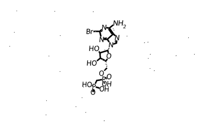 Nc1nc(Br)nc2c1ncn2[C@@H]1O[C@H](COP(=O)(O)CP(=O)(O)O)C(O)C1O